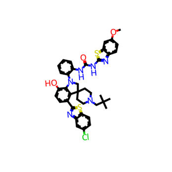 COc1ccc2nc(NC(=O)Nc3ccccc3N3CC4(CCN(CC(C)(C)C)CC4)c4c(-c5nc6cc(Cl)ccc6s5)ccc(O)c43)sc2c1